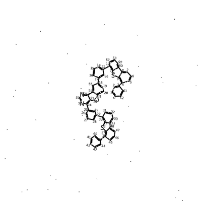 c1ccc(-c2cccc3c2sc2c(-c4cccc(-c5ccc6oc7c(-c8cccc(-c9cccc%10c9sc9c(-c%11ccccc%11)cccc9%10)c8)ncnc7c6c5)c4)cccc23)cc1